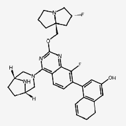 Oc1cc2c(c(-c3ccc4c(N5C[C@H]6CC[C@@H](C5)N6)nc(OC[C@@]56CCCN5C[C@H](F)C6)nc4c3F)c1)C=CCC2